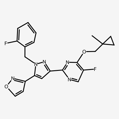 CC1(COc2nc(-c3cc(-c4ccon4)n(Cc4ccccc4F)n3)ncc2F)CC1